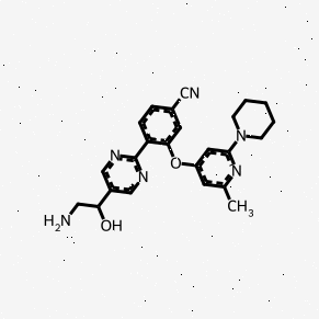 Cc1cc(Oc2cc(C#N)ccc2-c2ncc(C(O)CN)cn2)cc(N2CCCCC2)n1